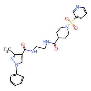 O=C(NCCNC(=O)C1CCN(S(=O)(=O)c2cccnc2)CC1)c1cn(-c2ccccc2)nc1C(F)(F)F